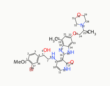 COc1ccc([C@H](O)CNc2cc[nH]c(=O)c2-c2nc3c(C)cc(OCC(C)N4CCOCC4)cc3[nH]2)cc1Br